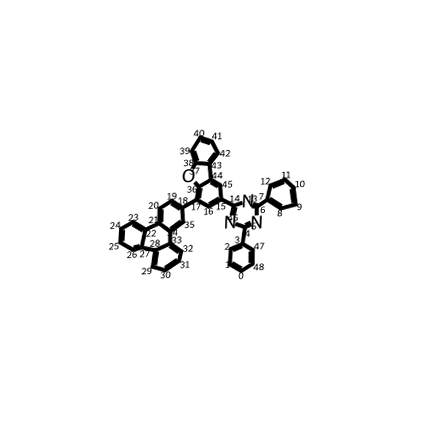 c1ccc(-c2nc(-c3ccccc3)nc(-c3cc(-c4ccc5c6ccccc6c6ccccc6c5c4)c4oc5ccccc5c4c3)n2)cc1